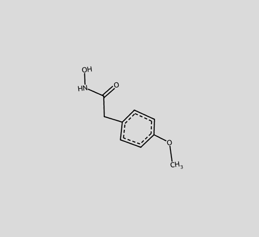 COc1ccc(CC(=O)NO)cc1